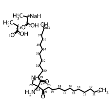 CCC(=O)O.CCC(=O)O.CCCCCCCCCCCC(=O)C(N)(CN)C(=O)CCCCCCCCCCC.[NaH]